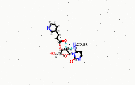 CCOC(=O)Nc1ccnc(=O)n1[C@@H]1O[C@H](CO)[C@@H](OC(=O)CCc2cccnc2)C1(F)F